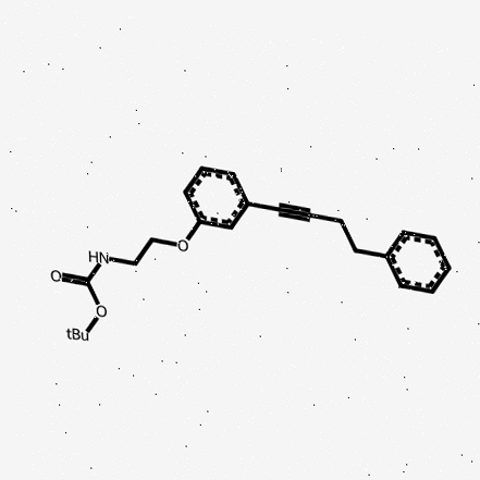 CC(C)(C)OC(=O)NCCOc1cccc(C#CCCc2ccccc2)c1